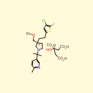 CCOC[C@@]1(CCc2cc(Cl)c(F)s2)CCN(C(C)(C)c2ccc(C)nc2)C1.O=C(O)CC(O)(CC(=O)O)C(=O)O